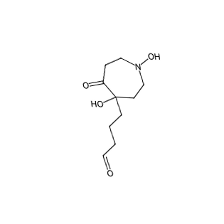 O=CCCCC1(O)CCN(O)CCC1=O